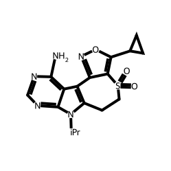 CC(C)n1c2c(c3c(N)ncnc31)-c1noc(C3CC3)c1S(=O)(=O)CC2